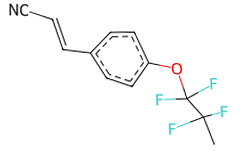 CC(F)(F)C(F)(F)Oc1ccc(C=CC#N)cc1